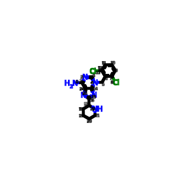 Nc1ncn(Cc2c(Cl)cccc2Cl)c2nc(C3CCCCN3)nc1-2